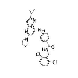 O=C(NCc1c(Cl)cccc1Cl)c1ccc(Nc2cc(N3CCCC3)nc3cc(C4CC4)nn23)cc1